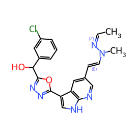 C/C=N\N(C)/C=C/c1cnc2[nH]cc(-c3nnc(C(O)c4cccc(Cl)c4)o3)c2c1